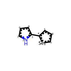 c1c[nH]c(-c2ccc[se]2)c1